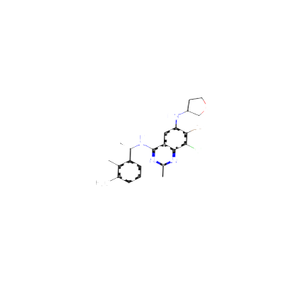 Cc1nc(N[C@H](C)c2cccc(C(F)(F)F)c2C)c2cc(NC3CCOC3)c(Br)c(Cl)c2n1